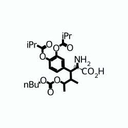 CCCCOC(=O)OC(C)C(C)C(c1ccc(OC(=O)C(C)C)c(OC(=O)C(C)C)c1)[C@H](N)C(=O)O